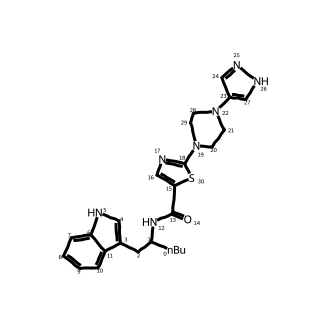 CCCCC(Cc1c[nH]c2ccccc12)NC(=O)c1cnc(N2CCN(c3cn[nH]c3)CC2)s1